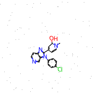 CN1C=CC(c2nc3ccncc3n2-c2ccc(Cl)cc2)=CC1O